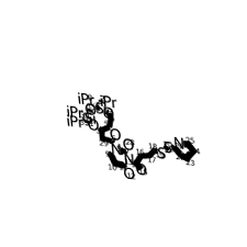 CC(C)[Si]1(C(C)C)OCC2OC(n3ccc(=O)n(C(=O)CCCSSc4ccccn4)c3=O)CC2O[Si](C(C)C)(C(C)C)O1